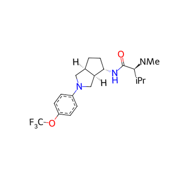 CN[C@H](C(=O)N[C@H]1CC[C@@H]2CN(c3ccc(OC(F)(F)F)cc3)C[C@@H]21)C(C)C